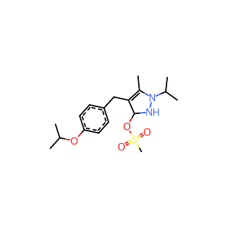 CC1=C(Cc2ccc(OC(C)C)cc2)C(OS(C)(=O)=O)NN1C(C)C